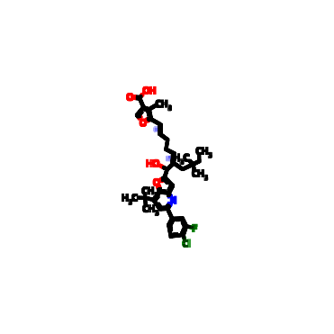 CCC(C)(C)C/C(=C/CC/C=C/c1occ(C(=O)O)c1C)C(O)c1cc2nc(-c3ccc(Cl)c(F)c3)cc(C(C)(C)C)c2o1